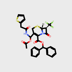 CC(=O)OC(NC(=O)Cc1cccs1)C1=C(C(=O)OC(c2ccccc2)c2ccccc2)N2C(=O)[C@H](C(F)(F)F)[C@H]2SC1